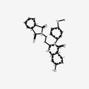 COc1ccc(-n2c(CCN3C(=O)c4ccccc4C3=O)nc3cc(Cl)ccc3c2=O)cc1